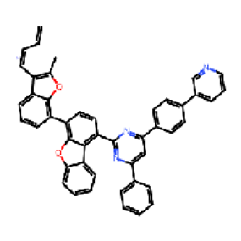 C=C/C=C\c1c(C)oc2c(-c3ccc(-c4nc(-c5ccccc5)cc(-c5ccc(-c6cccnc6)cc5)n4)c4c3oc3ccccc34)cccc12